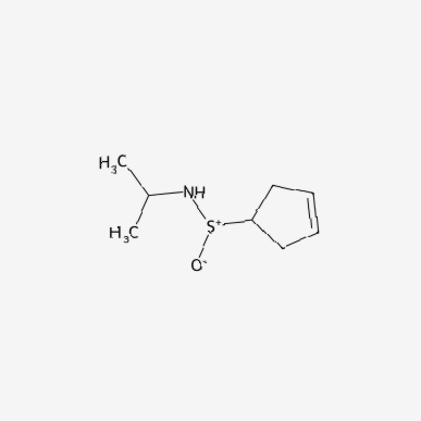 CC(C)N[S+]([O-])C1CC=CC1